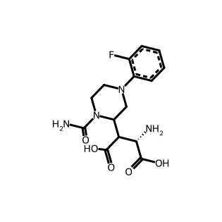 NC(=O)N1CCN(c2ccccc2F)CC1C(C(=O)O)[C@H](N)C(=O)O